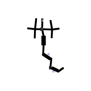 C/C=N\C=C\C#C[Si](F)(C(C)(C)C)C(C)(C)C